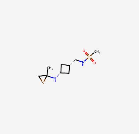 CC1(N[C@H]2C[C@@H](CNS(C)(=O)=O)C2)CS1